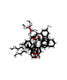 COCCOC(=O)c1cc(F)cc(-c2ccccc2)c1[O][V-2](=[O])([F])([F])([F])([F])([F])([F])([F])([F])([F])([F])([F])([F])([O]c1c(C(=O)OCCOC)cc(F)cc1-c1ccccc1)([O]c1c(C(=O)OCCOC)cc(F)cc1-c1ccccc1)[O]c1c(C(=O)OCCOC)cc(F)cc1-c1ccccc1